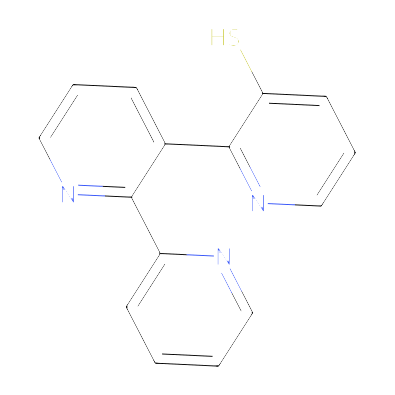 Sc1cccnc1-c1cccnc1-c1ccccn1